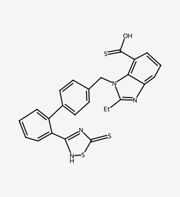 CCc1nc2cccc(C(O)=S)c2n1Cc1ccc(-c2ccccc2-c2nc(=S)s[nH]2)cc1